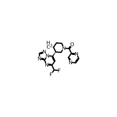 C[C@@H]1CCN(C(=O)c2cnccn2)C[C@H]1c1cc(C(F)F)nc2ncnn12